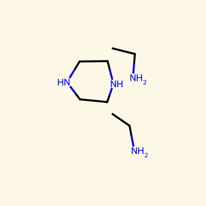 C1CNCCN1.CCN.CCN